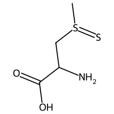 CS(=S)CC(N)C(=O)O